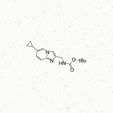 CC(C)(C)OC(=O)NCc1cn2cc(C3CC3)ccc2n1